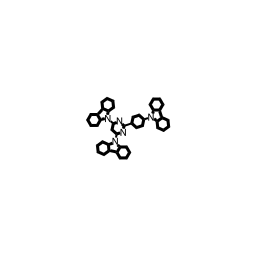 c1ccc2c(c1)c1ccccc1n2-c1ccc(-c2nc(-n3c4ccccc4c4ccccc43)cc(-n3c4ccccc4c4ccccc43)n2)cc1